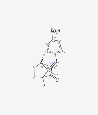 CC12CC[C@H](/C(=C\c3ccc(S(=O)(=O)O)cc3)C1=O)C2(C)C